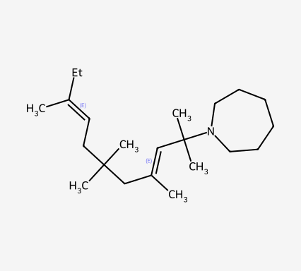 CC/C(C)=C/CC(C)(C)C/C(C)=C/C(C)(C)N1CCCCCC1